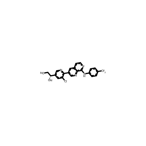 OC[C@@H](O)c1cnc(-c2cnc3c(Nc4ccc(C(F)(F)F)cc4)nccc3c2)c(Cl)c1